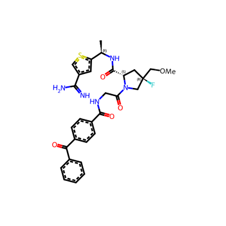 COC[C@@]1(F)C[C@@H](C(=O)N[C@H](C)c2cc(C(=N)N)cs2)N(C(=O)CNC(=O)c2ccc(C(=O)c3ccccc3)cc2)C1